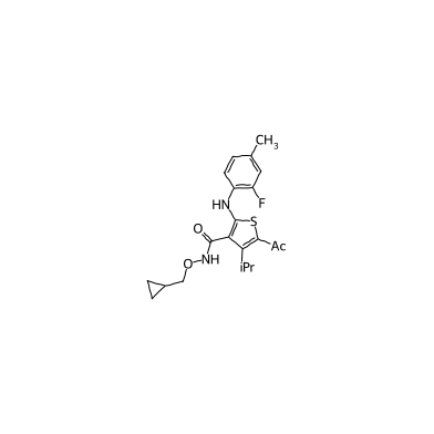 CC(=O)c1sc(Nc2ccc(C)cc2F)c(C(=O)NOCC2CC2)c1C(C)C